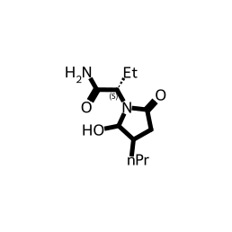 CCCC1CC(=O)N([C@@H](CC)C(N)=O)C1O